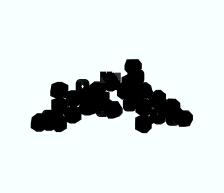 O=C(Oc1ccc(-c2cc(-c3ccc(OC(=O)c4cc(-c5ccccc5-c5ccc(-c6cccc7c6oc6ccccc67)nc5)cc(-c5ccccc5-c5ccc(-c6cccc7c6oc6ccccc67)nc5)c4)cc3)ncn2)cc1)c1cc(-c2ccccc2-c2ccc(-c3cccc4c3Oc3ccccc3C4)nc2)cc(-c2ccccc2-c2ccc(-c3cccc4c3oc3ccccc34)nc2)c1